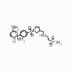 CS(=O)(=O)CCNCC1CCN(S(=O)(=O)c2ccc(C3(N)N=C(N)C=CN3)cc2)C1